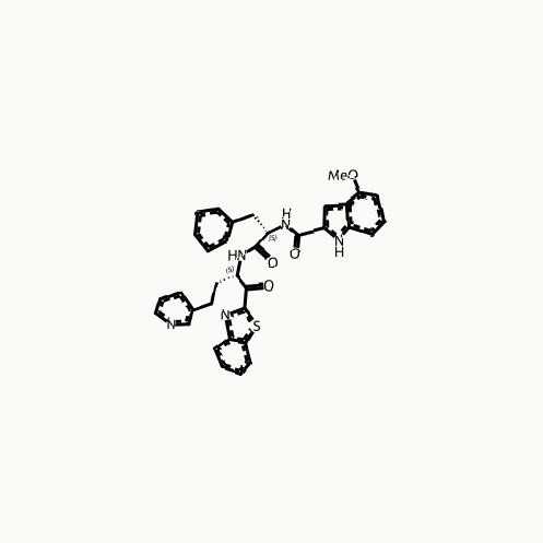 COc1cccc2[nH]c(C(=O)N[C@@H](Cc3ccccc3)C(=O)N[C@@H](CCc3cccnc3)C(=O)c3nc4ccccc4s3)cc12